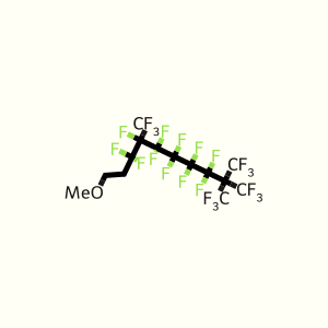 COCCC(F)(F)C(F)(C(F)(F)F)C(F)(F)C(F)(F)C(F)(F)C(F)(F)C(C(F)(F)F)(C(F)(F)F)C(F)(F)F